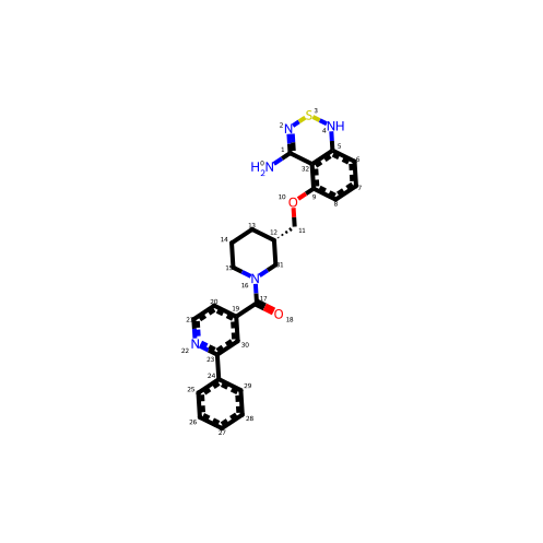 NC1=NSNc2cccc(OC[C@H]3CCCN(C(=O)c4ccnc(-c5ccccc5)c4)C3)c21